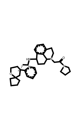 O=C(CN1CCc2cccc3c2C1CCC3NCC[C@@]1(c2ccccn2)CCOC2(CCCC2)C1)N1CCCC1